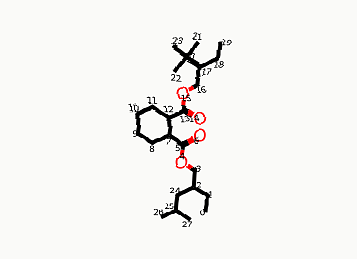 CCC(COC(=O)C1CCCCC1C(=O)OCC(CC)C(C)(C)C)CC(C)C